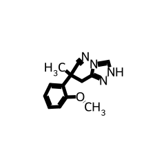 COc1ccccc1C(C)(C#N)Cc1nc[nH]n1